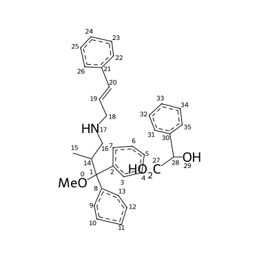 COC(c1ccccc1)(c1ccccc1)C(C)CNCC=Cc1ccccc1.O=C(O)C(O)c1ccccc1